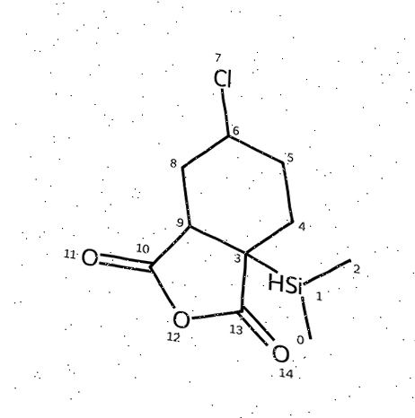 C[SiH](C)C12CCC(Cl)CC1C(=O)OC2=O